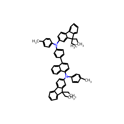 CCC1(CC)c2ccccc2-c2ccc(N(c3ccc(C)cc3)c3ccc(-c4ccc(N(c5ccc(C)cc5)c5ccc6c(c5)C(CC)(CC)c5ccccc5-6)c5ccccc45)cc3)cc21